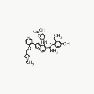 CCc1cc(O)ccc1N=C(N)c1cnn2cc(-c3cnccc3OCC3CN(C)C3)cc2c1N[C@@H]1CCOC1.O=CO